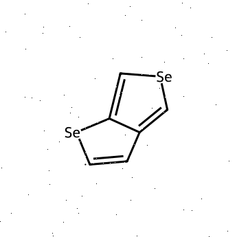 [c]1cc2c[se]cc2[se]1